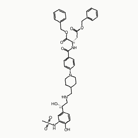 CS(=O)(=O)Nc1cc([C@H](O)CNCC2CCN(c3ccc(C(=O)N[C@@H](CC(=O)OCc4ccccc4)C(=O)OCc4ccccc4)cc3)CC2)ccc1O